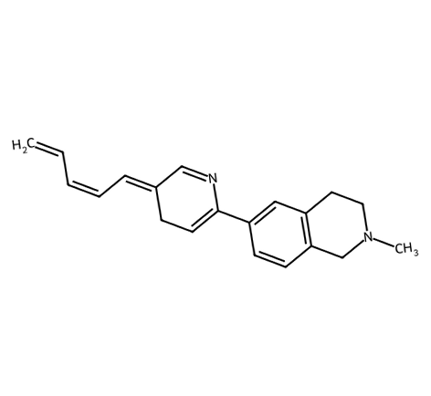 C=C/C=C\C=C1\C=NC(c2ccc3c(c2)CCN(C)C3)=CC1